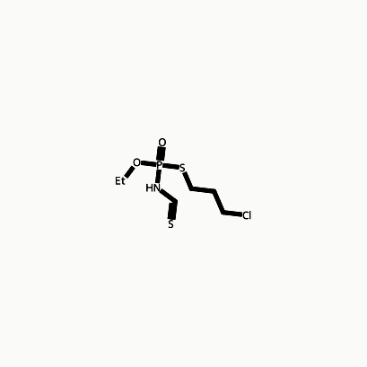 CCOP(=O)(NC=S)SCCCCl